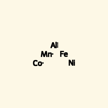 [Al].[Co].[Fe].[Mn].[Ni]